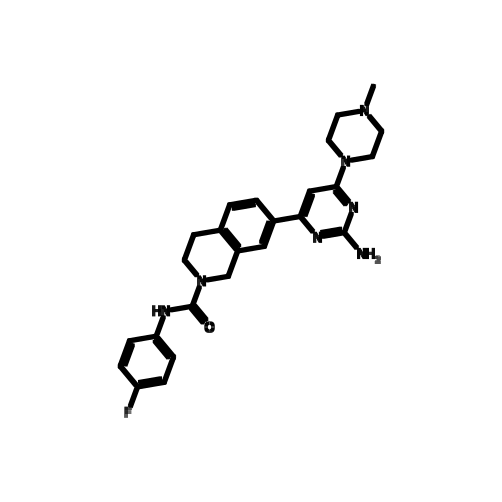 CN1CCN(c2cc(-c3ccc4c(c3)CN(C(=O)Nc3ccc(F)cc3)CC4)nc(N)n2)CC1